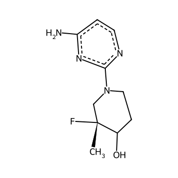 C[C@@]1(F)CN(c2nccc(N)n2)CCC1O